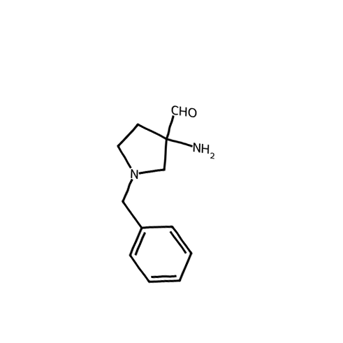 NC1(C=O)CCN(Cc2ccccc2)C1